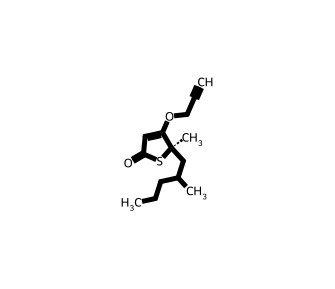 C#CCOC1=CC(=O)S[C@]1(C)CC(C)CCC